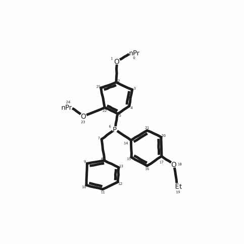 CCCOc1ccc(P(Cc2ccccc2)c2ccc(OCC)cc2)c(OCCC)c1